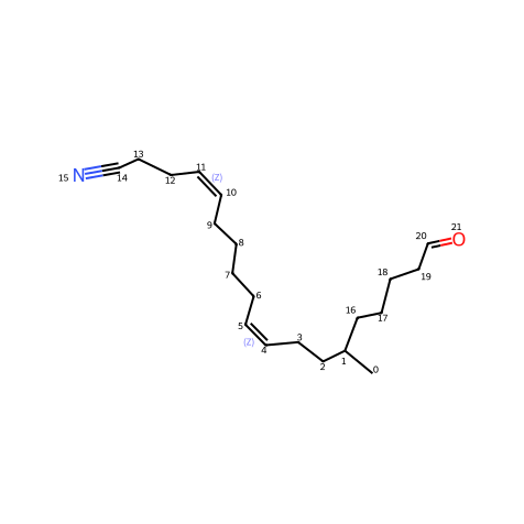 CC(CC/C=C\CCCC/C=C\CCC#N)CCCCC=O